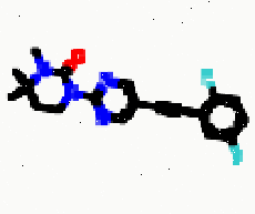 CN1C(=O)N(c2ncc(C#Cc3cc(F)ccc3F)cn2)CCC1(C)C